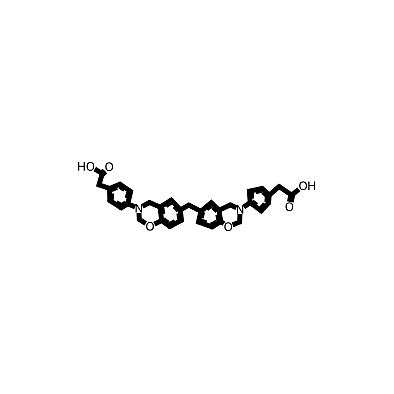 O=C(O)Cc1ccc(N2COc3ccc(Cc4ccc5c(c4)CN(c4ccc(CC(=O)O)cc4)CO5)cc3C2)cc1